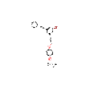 O=C(O)COc1ccc(OCC#Cc2cc(Br)cc(C#Cc3ccccc3)c2)cc1